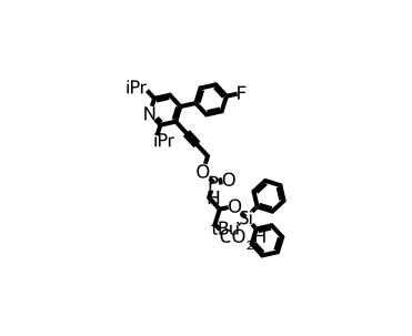 CC(C)c1cc(-c2ccc(F)cc2)c(C#CCO[PH](=O)CC(CC(=O)O)O[Si](c2ccccc2)(c2ccccc2)C(C)(C)C)c(C(C)C)n1